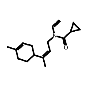 C=CN(C/C=C(/C)C1CC=C(C)CC1)C(=O)C1CC1